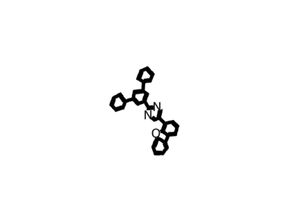 c1ccc(-c2cc(-c3ccccc3)cc(-c3ncc(-c4cccc5c4oc4ccccc45)cn3)c2)cc1